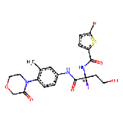 Cc1cc(NC(=O)[C@@](I)(CCO)NC(=O)c2ccc(Br)s2)ccc1N1CCOCC1=O